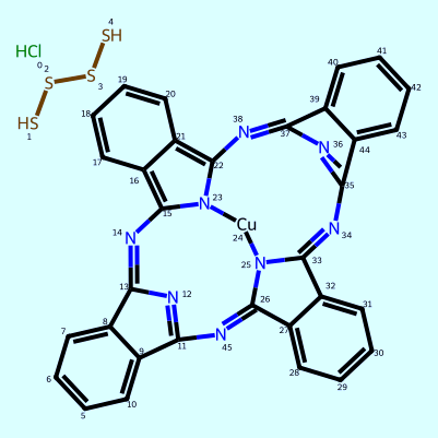 Cl.SSSS.c1ccc2c(c1)C1=NC/2=N\c2c3ccccc3c3[n]2[Cu][n]2/c(c4ccccc4/c2=N/C2=N\C(=N/3)c3ccccc32)=N\1